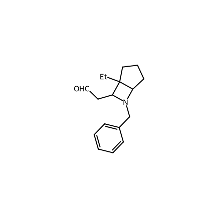 CCC12CCCC1N(Cc1ccccc1)C2CC=O